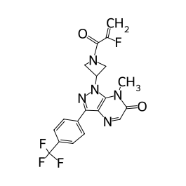 C=C(F)C(=O)N1CC(n2nc(-c3ccc(C(F)(F)F)cc3)c3ncc(=O)n(C)c32)C1